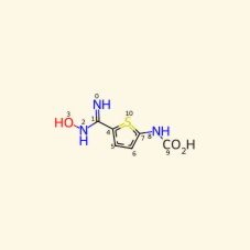 N=C(NO)c1ccc(NC(=O)O)s1